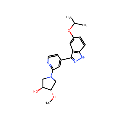 CO[C@H]1CN(c2cc(-c3n[nH]c4ccc(OC(C)C)cc34)ccn2)C[C@@H]1O